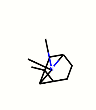 CC1C2C3CCC(CC32C)N1C